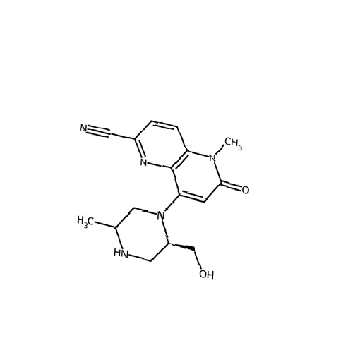 CC1CN(c2cc(=O)n(C)c3ccc(C#N)nc23)[C@@H](CO)CN1